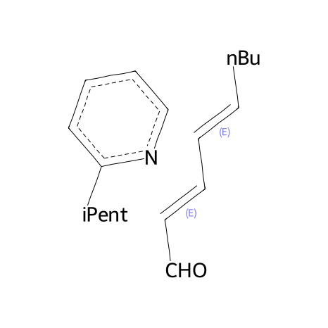 CCCC(C)c1ccccn1.CCCC/C=C/C=C/C=O